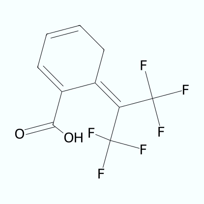 O=C(O)C1=CC=CCC1=C(C(F)(F)F)C(F)(F)F